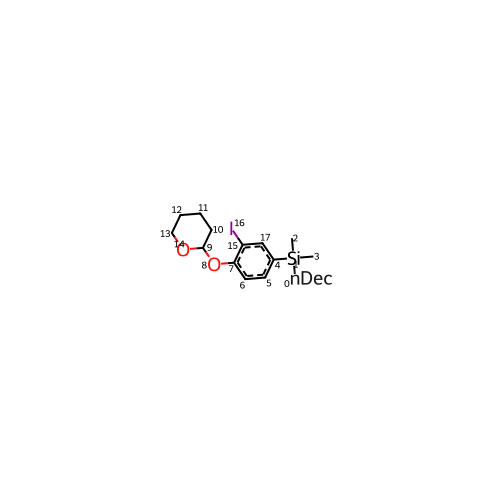 CCCCCCCCCC[Si](C)(C)c1ccc(OC2CCCCO2)c(I)c1